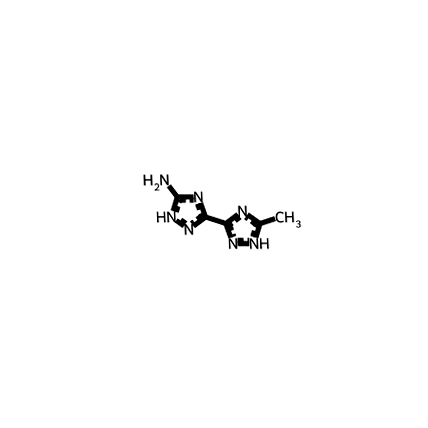 Cc1nc(-c2n[nH]c(N)n2)n[nH]1